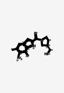 Cc1cc2cc(C(=O)N3CC[C@@H](CS)C3)[nH]c2c(F)c1P